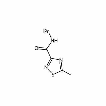 Cc1nc(C(=O)NC(C)C)ns1